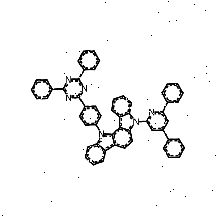 c1ccc(-c2cc(-c3ccccc3)nc(-n3c4ccccc4c4c3ccc3c5ccccc5n(-c5ccc(-c6nc(-c7ccccc7)nc(-c7ccccc7)n6)cc5)c34)c2)cc1